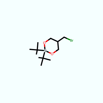 CC(C)(C)[Si]1(C(C)(C)C)OCC(CBr)CO1